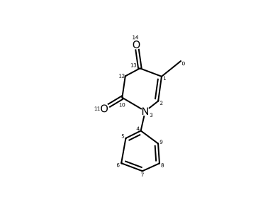 CC1=CN(c2ccccc2)C(=O)CC1=O